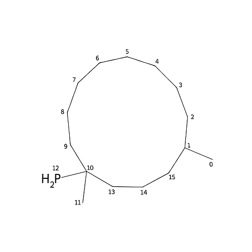 CC1CCCCCCCCC(C)(P)CCC1